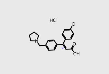 Cl.O=C(O)/C=C(\c1ccc(Cl)cc1)c1ccc(CN2CCCC2)cc1